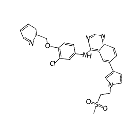 CS(=O)(=O)CCn1ccc(-c2ccc3ncnc(Nc4ccc(OCc5ccccn5)c(Cl)c4)c3c2)c1